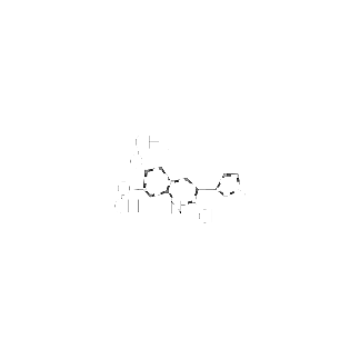 COc1cc2cc(-c3ccsc3)c(Cl)nc2cc1OC